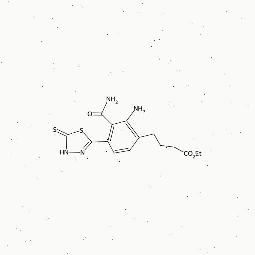 CCOC(=O)CCCc1ccc(-c2n[nH]c(=S)s2)c(C(N)=O)c1N